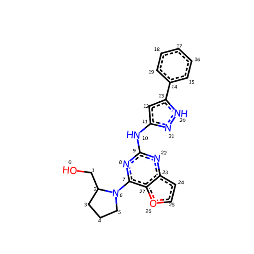 OCC1CCCN1c1nc(Nc2cc(-c3ccccc3)[nH]n2)nc2ccoc12